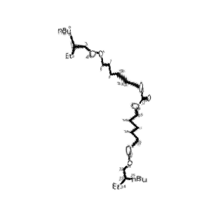 CCCCC(CC)COOCCCCCOC(=O)OCCCCCOOCC(CC)CCCC